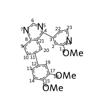 COc1cc(-c2ncnc3ccc(-c4ccc(OC)c(OC)c4)cc23)ccn1